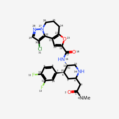 CNC(=O)CC1C[C@@H](c2ccc(F)c(F)c2)[C@H](NC(=O)c2cc3c(o2)CCCn2ncc(Cl)c2-3)CN1